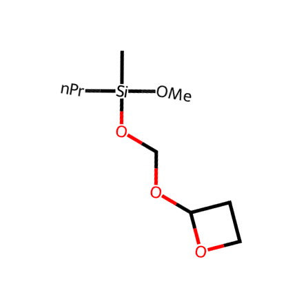 CCC[Si](C)(OC)OCOC1CCO1